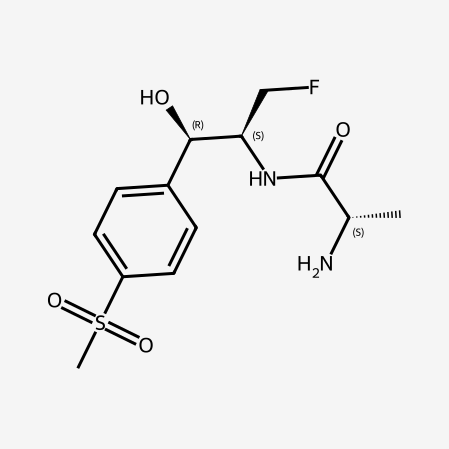 C[C@H](N)C(=O)N[C@H](CF)[C@H](O)c1ccc(S(C)(=O)=O)cc1